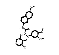 COc1ccc2cc([C@@H](C)C(=O)O[C@H](Cc3c(Cl)cncc3Cl)c3ccc(OC)c(OC)c3)ccc2c1